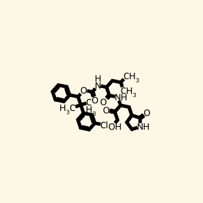 CC(C)CC(NC(=O)OC(c1ccccc1)C(C)(C)c1cccc(Cl)c1)C(=O)NC(CC1CCNC1=O)C(=O)CO